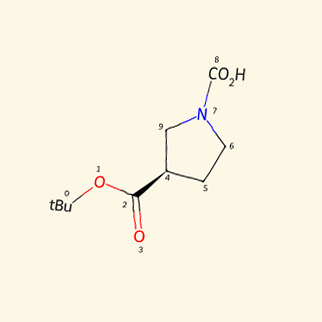 CC(C)(C)OC(=O)[C@@H]1CCN(C(=O)O)C1